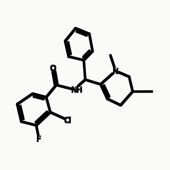 CC1CC=C(C(NC(=O)c2cccc(F)c2Cl)c2ccccc2)N(C)C1